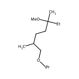 CCC(C)(CCC(C)COC(C)C)OC